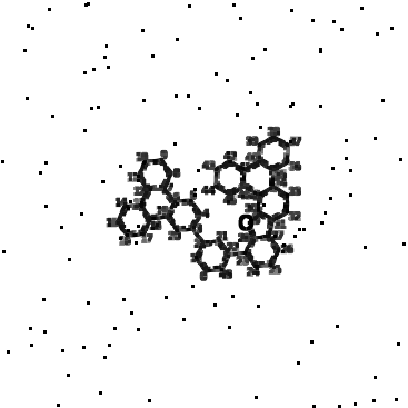 c1cc(-c2ccc3c4ccccc4c4ccccc4c3c2)cc(-c2cccc3c2oc2c3ccc3c4ccccc4c4ccccc4c32)c1